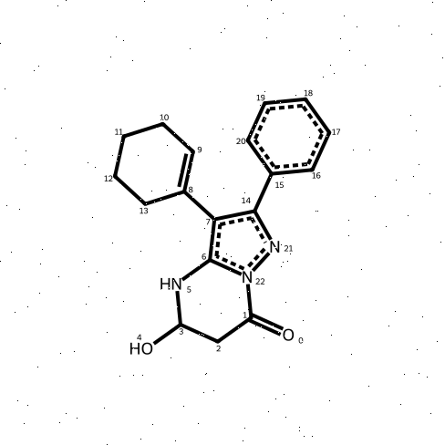 O=C1CC(O)Nc2c(C3=CCCCC3)c(-c3ccccc3)nn21